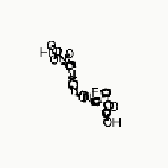 O=C1CCC(N2Cc3cc(N4CC5(CCN(CC6CCN(c7ccc([C@H]8c9ccc(O)cc9OC[C@H]8c8ccccc8)cc7F)CC6)CC5)C4)ccc3C2=O)C(=O)N1